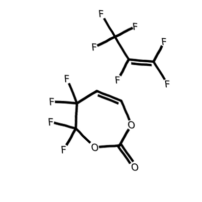 FC(F)=C(F)C(F)(F)F.O=C1OC=CC(F)(F)C(F)(F)O1